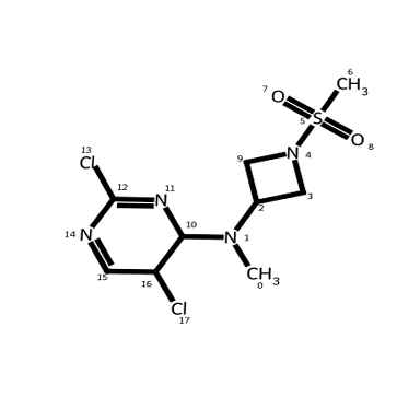 CN(C1CN(S(C)(=O)=O)C1)C1N=C(Cl)N=CC1Cl